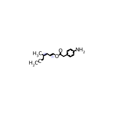 C=C=C/C(C)=C\C=C\OC(=O)Cc1ccc(N)cc1